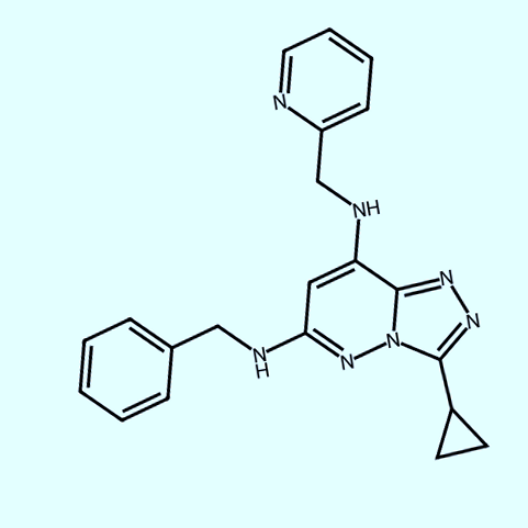 c1ccc(CNc2cc(NCc3ccccn3)c3nnc(C4CC4)n3n2)cc1